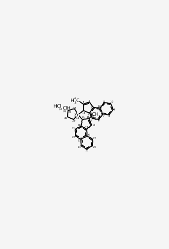 CC1=Cc2c(ccc3ccccc23)[CH]1[Zr]1([CH]2C(C)=Cc3c2ccc2ccccc32)[CH2]CC[CH2]1.Cl.Cl